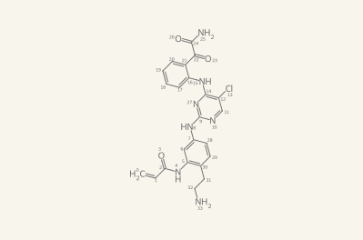 C=CC(=O)Nc1cc(Nc2ncc(Cl)c(Nc3ccccc3C(=O)C(N)=O)n2)ccc1CCN